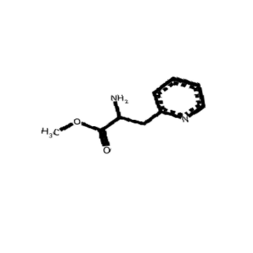 COC(=O)C(N)Cc1ccccn1